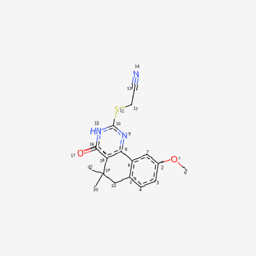 COc1ccc2c(c1)-c1nc(SCC#N)[nH]c(=O)c1C(C)(C)C2